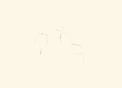 C[N+](C)(C)CCOP(=O)(O)OC1CCC(CCl)C1